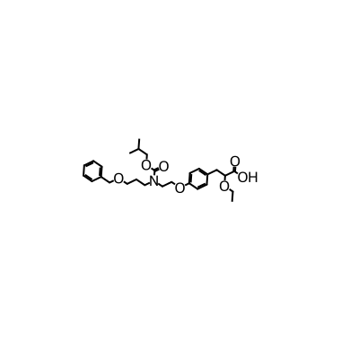 CCOC(Cc1ccc(OCCN(CCCOCc2ccccc2)C(=O)OCC(C)C)cc1)C(=O)O